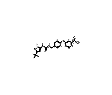 CC(C)(C)c1cc(NC(=O)NCc2ccc(Oc3ccnc(C(=O)O)c3)cc2)[nH]n1